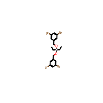 CC[Si](CC)(OCc1cc(Br)cc(Br)c1)OCc1cc(Br)cc(Br)c1